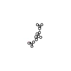 c1ccc(N(c2ccccc2)c2ccc(-c3ccc4c(c3)oc3c5oc6cc(-c7ccc(N(c8ccccc8)c8ccccc8)cc7)ccc6c5c5ccccc5c43)cc2)cc1